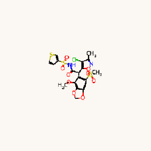 COc1c2c(cc(S(C)(=O)=O)c1C(C(=O)NS(=O)(=O)c1ccsc1)c1onc(C)c1Cl)OCO2